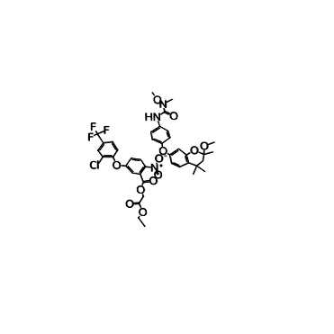 CCOC(=O)COC(=O)c1cc(Oc2ccc(C(F)(F)F)cc2Cl)ccc1[N+](=O)[O-].CON(C)C(=O)Nc1ccc(Oc2ccc3c(c2)OC(C)(OC)CC3(C)C)cc1